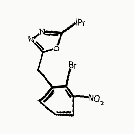 CC(C)c1nnc(Cc2cccc([N+](=O)[O-])c2Br)o1